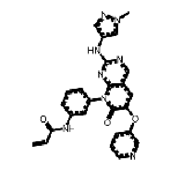 C=CC(=O)Nc1cccc(-n2c(=O)c(Oc3cccnc3)cc3cnc(Nc4cnn(C)c4)nc32)c1